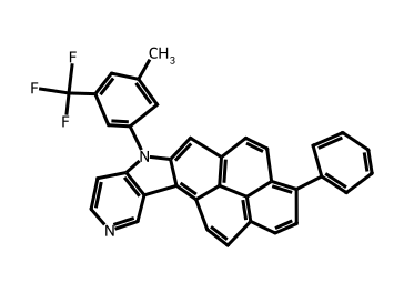 Cc1cc(-n2c3ccncc3c3c4ccc5ccc(-c6ccccc6)c6ccc(cc32)c4c56)cc(C(F)(F)F)c1